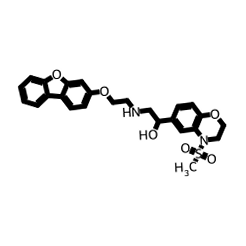 CS(=O)(=O)N1CCOc2ccc(C(O)CNCCOc3ccc4c(c3)oc3ccccc34)cc21